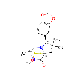 CN1C(=O)[C@@]23C[C@](C)(C#N)[C@H](c4ccc5c(c4)OCO5)N2C[C@]1(C)[S+]([O-])S3